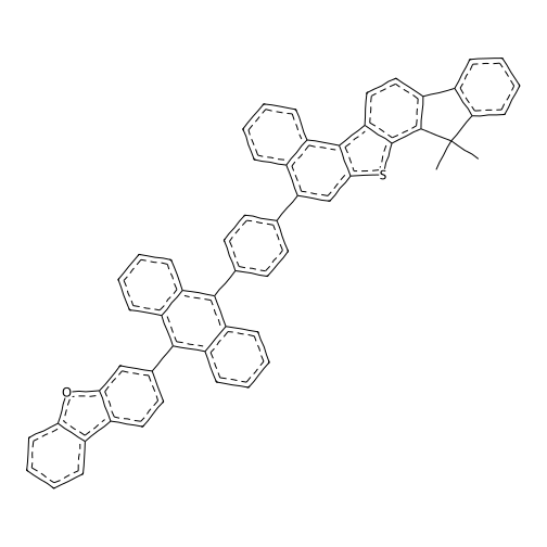 CC1(C)c2ccccc2-c2ccc3c(sc4cc(-c5ccc(-c6c7ccccc7c(-c7ccc8c(c7)oc7ccccc78)c7ccccc67)cc5)c5ccccc5c43)c21